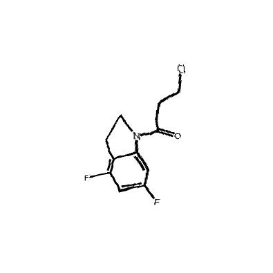 O=C(CCCl)N1CCc2c(F)cc(F)cc21